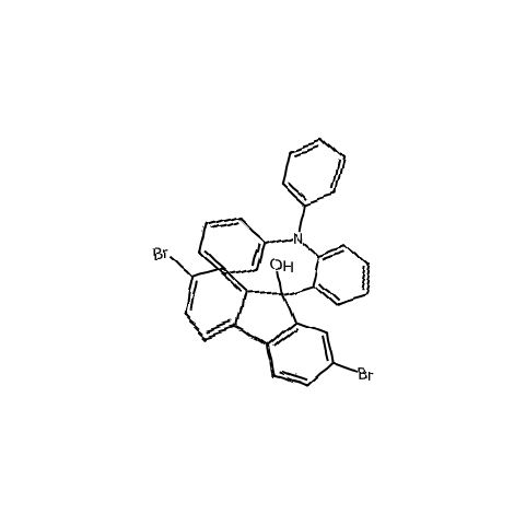 OC1(c2ccccc2N(c2ccccc2)c2ccccc2)c2cc(Br)ccc2-c2ccc(Br)cc21